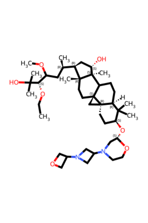 CCO[C@@H](C(C[C@@H](C)[C@H]1C[C@H](O)[C@@]2(C)C3CC[C@H]4C(C)(C)[C@@H](O[C@H]5CN(C6CN(C7COC7)C6)CCO5)CC[C@@]45C[C@@]35CC[C@]12C)OC)C(C)(C)O